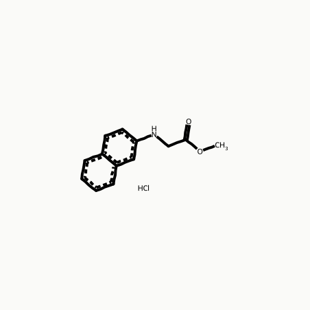 COC(=O)CNc1ccc2ccccc2c1.Cl